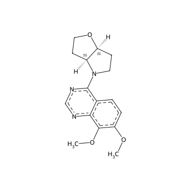 COc1ccc2c(N3CC[C@@H]4OCC[C@@H]43)ncnc2c1OC